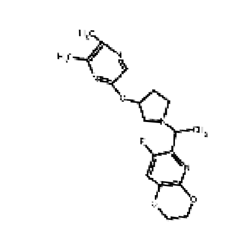 Cc1ncc(OC2CCN(C(C)c3nc4c(cc3F)OCCO4)C2)nc1C